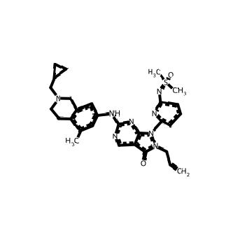 C=CCn1c(=O)c2cnc(Nc3cc(C)c4c(c3)CN(CC3CC3)CC4)nc2n1-c1cccc(N=S(C)(C)=O)n1